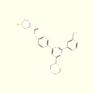 O=C(Nc1ccc(-c2cc(C3CNCCO3)nc(-c3cccc(CO)c3)n2)cc1)[C@@H]1C[C@@H](O)CN1